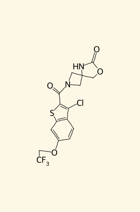 O=C1NC2(CO1)CN(C(=O)c1sc3cc(OCC(F)(F)F)ccc3c1Cl)C2